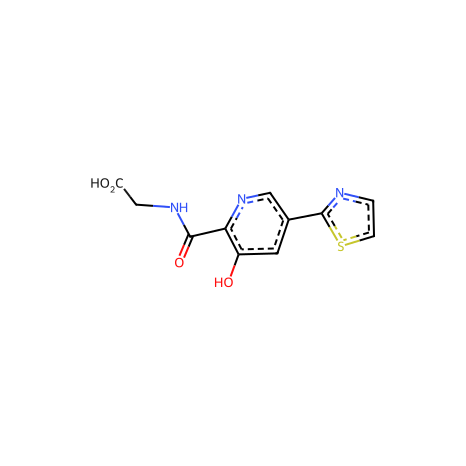 O=C(O)CNC(=O)c1ncc(-c2nccs2)cc1O